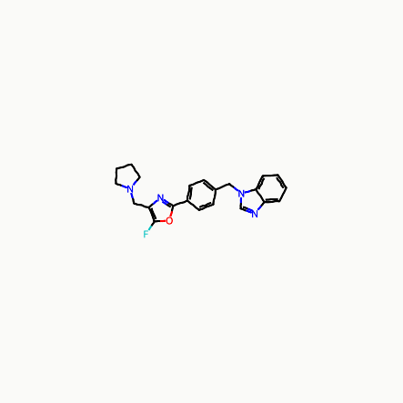 Fc1oc(-c2ccc(Cn3cnc4ccccc43)cc2)nc1CN1CCCC1